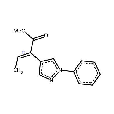 C/C=C(/C(=O)OC)c1cnn(-c2ccccc2)c1